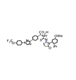 COc1ccc(C(C)C)c(N2C(=O)CS/C2=N\C(=S)NC(C(=O)O)c2ccc(-c3ncn(-c4ccc(OC(F)(F)F)cc4)n3)cc2)c1